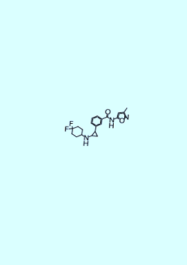 Cc1cc(NC(=O)c2cccc(C3CC3NC3CCC(F)(F)CC3)c2)on1